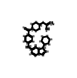 C=C(O)CN1CCN(C(=O)c2ccc(Nc3ncc4cnn(C5CCCCC5)c4n3)cc2)CC1